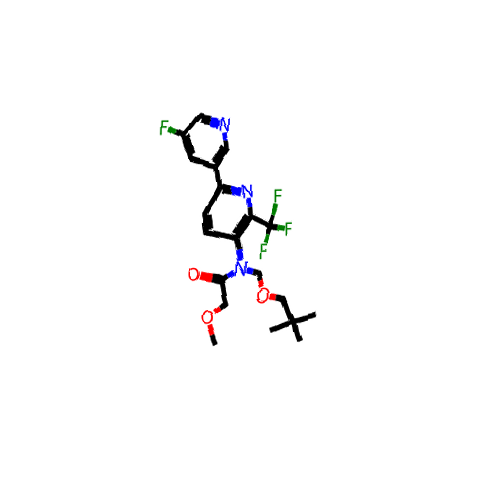 COCC(=O)N(COCC(C)(C)C)c1ccc(-c2cncc(F)c2)nc1C(F)(F)F